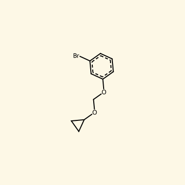 Brc1cccc(OCOC2CC2)c1